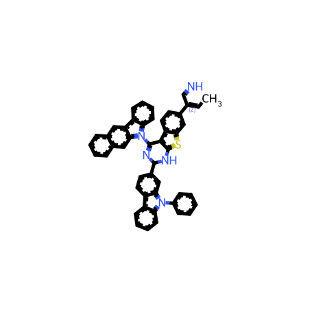 C/C=C(\C=N)c1ccc2c3c(sc2c1)NC(c1ccc2c4ccccc4n(-c4ccccc4)c2c1)N=C3n1c2ccccc2c2cc3ccccc3cc21